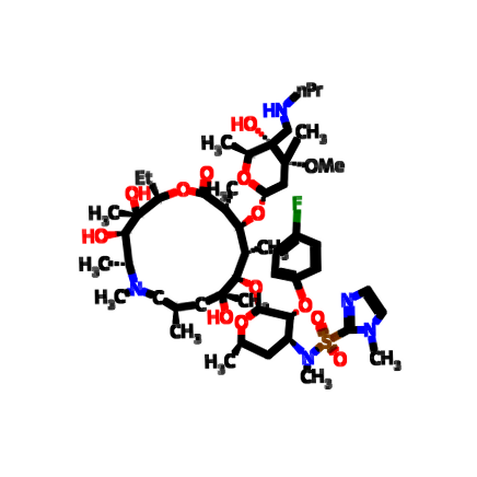 CCCNC[C@]1(O)[C@H](C)O[C@@H](O[C@H]2[C@H](C)[C@@H](O[C@@H]3O[C@H](C)C[C@H](N(C)S(=O)(=O)c4nccn4C)[C@H]3Oc3ccc(F)cc3)[C@](C)(O)C[C@@H](C)CN(C)[C@H](C)[C@@H](O)[C@](C)(O)[C@@H](CC)OC(=O)[C@@H]2C)C[C@@]1(C)OC